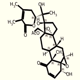 CC(=O)OC[C@]12CC[C@H]3[C@@H](C[C@H]4O[C@]45[C@H](O)C=CC(=O)[C@]35C)[C@]1(O)CC[C@@]2(O)C(C)(O)[C@H]1CC(C)=C(C)C(=O)O1